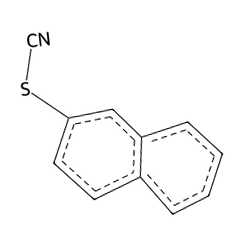 N#CSc1ccc2ccccc2c1